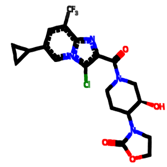 O=C(c1nc2c(C(F)(F)F)cc(C3CC3)cn2c1Cl)N1CCC(N2CCOC2=O)[C@H](O)C1